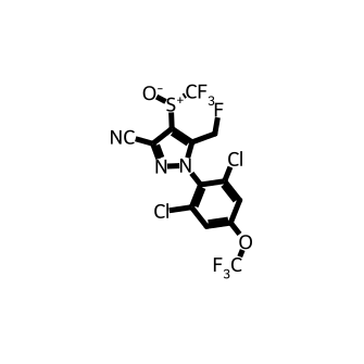 N#Cc1nn(-c2c(Cl)cc(OC(F)(F)F)cc2Cl)c(CF)c1[S+]([O-])C(F)(F)F